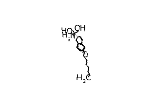 CCCCCCCOc1ccc2c(c1)C=C[C@@H](C(N)(CO)CO)C2